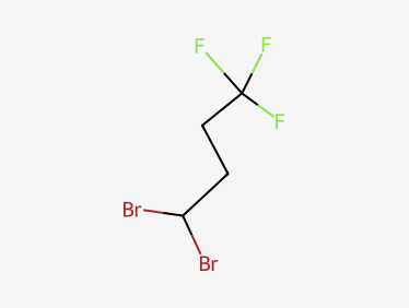 FC(F)(F)CCC(Br)Br